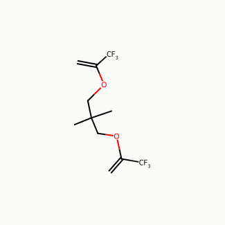 C=C(OCC(C)(C)COC(=C)C(F)(F)F)C(F)(F)F